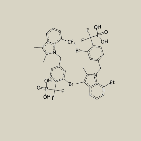 CCc1cccc2c(C)c(C)n(Cc3ccc(C(F)(F)P(=O)(O)O)c(Br)c3)c12.Cc1c(C)n(Cc2ccc(C(F)(F)P(=O)(O)O)c(Br)c2)c2c(C(F)(F)F)cccc12